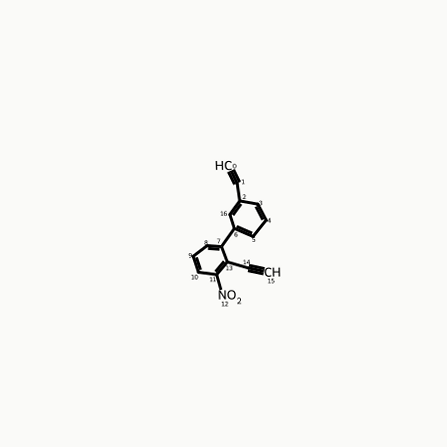 C#Cc1cccc(-c2cccc([N+](=O)[O-])c2C#C)c1